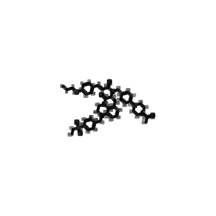 CCCOc1ccc(/C=C/C(=O)N(Cc2ccc(N3CCN(C(C)=O)CC3)cc2)[C@@H](Cc2ccccc2)C(=O)N2CCN(Cc3ccc(S(=O)(=O)CC)cc3)CC2)cc1